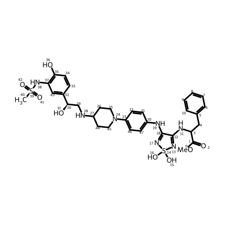 COC(=O)C(Cc1ccccc1)NC1=NS(O)(O)N=C1Nc1ccc(N2CCC(NC[C@@H](O)c3ccc(O)c(NS(C)(=O)=O)c3)CC2)cc1